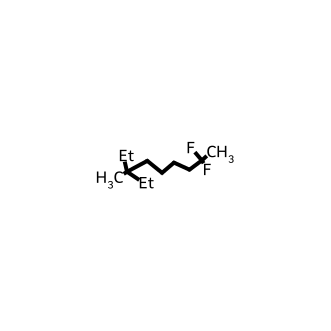 CCC(C)(CC)CCCCC(C)(F)F